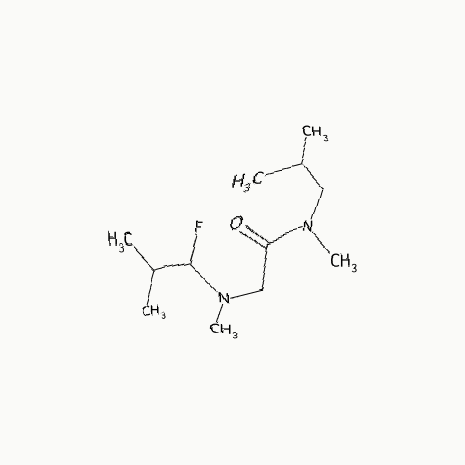 CC(C)CN(C)C(=O)CN(C)C(F)C(C)C